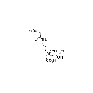 CCCCCCCCCCCC(=O)NCCC[N+](CCO)(CC(=O)O)CC(=O)O